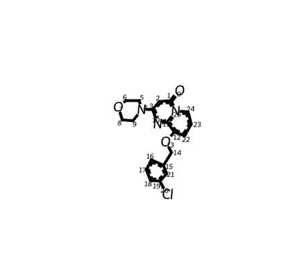 O=c1cc(N2CCOCC2)nc2c(OCc3cccc(Cl)c3)cccn12